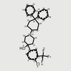 OC1(c2ccc(Cl)c(C(F)(F)F)c2)CCN(C2CCC(c3ccccc3)(c3ccccc3)CC2)CC1